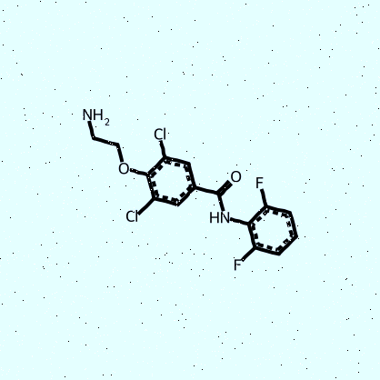 NCCOc1c(Cl)cc(C(=O)Nc2c(F)cccc2F)cc1Cl